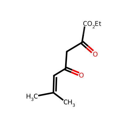 CCOC(=O)C(=O)CC(=O)C=C(C)C